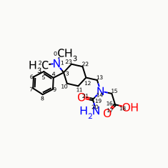 CN(C)C1(c2ccccc2)CCC(CN(CC(=O)O)C(N)=O)CC1